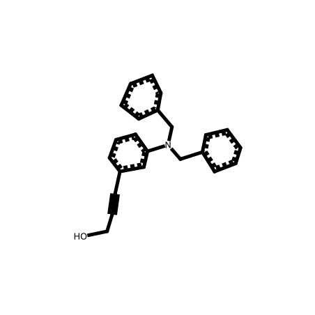 OCC#Cc1cccc(N(Cc2ccccc2)Cc2ccccc2)c1